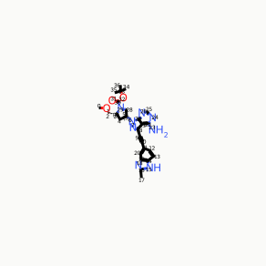 COC[C@H]1C[C@H](n2nc(C#Cc3ccc4[nH]c(C)nc4c3)c3c(N)ncnc32)CN1C(=O)OC(C)(C)C